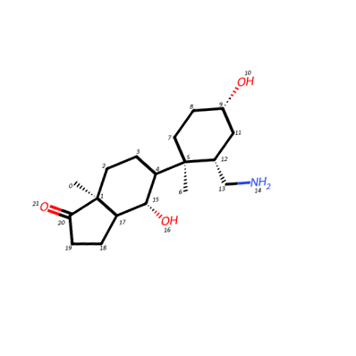 C[C@]12CCC([C@@]3(C)CC[C@H](O)C[C@@H]3CN)[C@H](O)C1CCC2=O